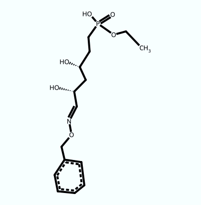 CCOP(=O)(O)CC[C@@H](O)C[C@@H](O)C=NOCc1ccccc1